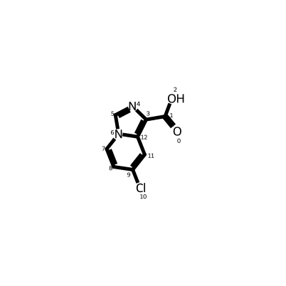 O=C(O)c1ncn2ccc(Cl)cc12